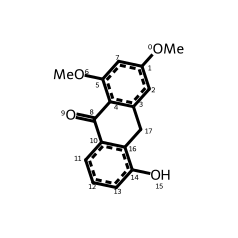 COc1cc2c(c(OC)c1)C(=O)c1cccc(O)c1C2